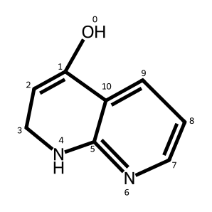 OC1=CCNc2ncccc21